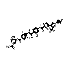 Cn1c(-c2cn([C@H]3CC3(F)F)nc2C(F)(F)F)cnc1C(=O)Nc1ccc(C(=O)NC2[C@H]3CN(C(=O)N[C@@H]4CN(C(=O)O)C[C@H]4O)C[C@@H]23)c(Cl)c1